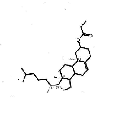 CCC(=O)OC1CCC2=CCC3C(CC[C@@]4(C)C3CC[C@@H]4[C@H](C)CCCC(C)C)[C@@]2(C)C1